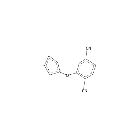 N#Cc1ccc(C#N)c(On2c[c]cc2)c1